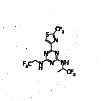 CC(Nc1nc(NCC(F)(F)F)nc(-c2csc(C(F)(F)F)n2)n1)C(F)(F)F